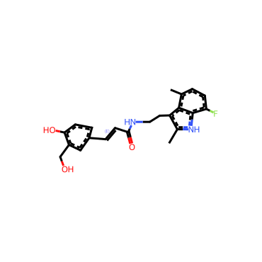 Cc1[nH]c2c(F)ccc(C)c2c1CCNC(=O)/C=C/c1ccc(O)c(CO)c1